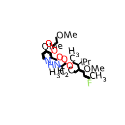 C=C/C(=C(\C=C(/C)F)OC)[C@H](C(C)C)[C@H](C)OC(=O)[C@H](C)NC(=O)c1nccc(OC)c1OC(=O)CCOC